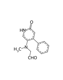 CN(CC=O)c1c[nH]c(=O)cc1-c1ccccc1